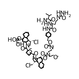 COCCN(CCN(C)C(=O)OCc1ccc(NC(=O)[C@H](CCCNC(N)=O)NC(=O)[C@@H](N)C(C)C)cc1)C(=O)Oc1cc2c(c3ccccc13)[C@H](CCl)CN2C(=O)c1ccc(C(=O)N2C[C@@H](CCl)c3c2cc(OP(O)O)c2ccccc32)s1